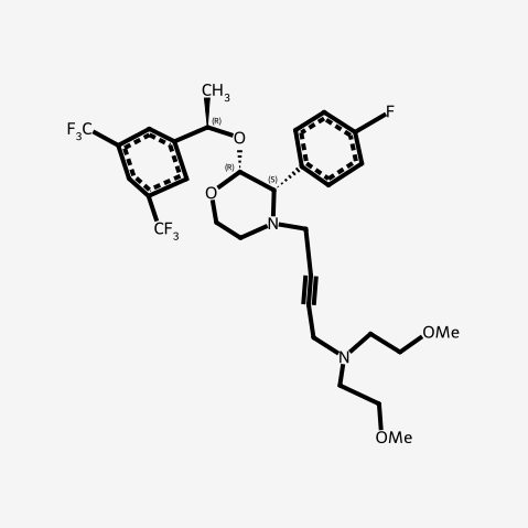 COCCN(CC#CCN1CCO[C@H](O[C@H](C)c2cc(C(F)(F)F)cc(C(F)(F)F)c2)[C@@H]1c1ccc(F)cc1)CCOC